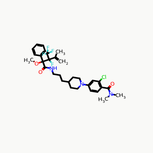 C=C(C)C(F)(C(F)(F)F)C(OC)(C(=O)NCCCC1CCN(c2ccc(C(=O)N(C)C)c(Cl)c2)CC1)c1ccccc1